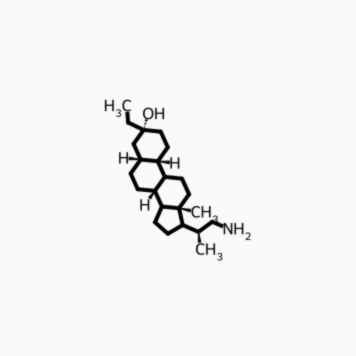 CC[C@@]1(O)CC[C@@H]2C3CC[C@@]4(C)C(CCC4[C@H](C)CN)[C@@H]3CC[C@@H]2C1